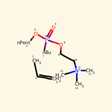 C=CC.CCCCCOP(=O)(CCCC)OCC[N+](C)(C)C